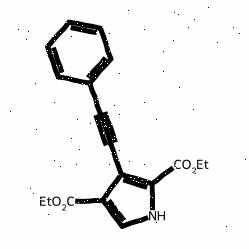 CCOC(=O)c1c[nH]c(C(=O)OCC)c1C#Cc1ccccc1